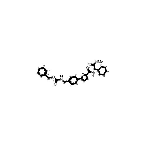 CNC(=O)[C@@H](NC(=O)c1ccc(-c2ccc(CNC(=O)OCc3ccccc3)cc2)o1)C1CCCCC1